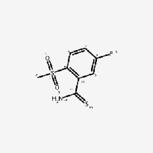 CS(=O)(=O)c1c[c]c(F)cc1C(N)=S